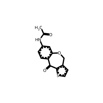 CC(=O)Nc1ccc2c(c1)OCc1ccsc1C2=O